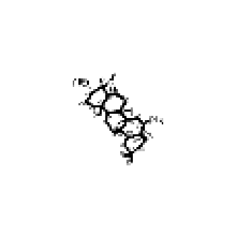 CO[C@]1(C)[C@@H]2CC[C@@]3(C)C(CC=C4C5CC(C)(C)CC[C@]5(C)C(O)C[C@]43C)C2(C)CC[C@@H]1O